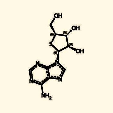 Nc1ncnc2c1ncn2[C@H]1S[C@@H](CO)[C@H](O)[C@H]1O